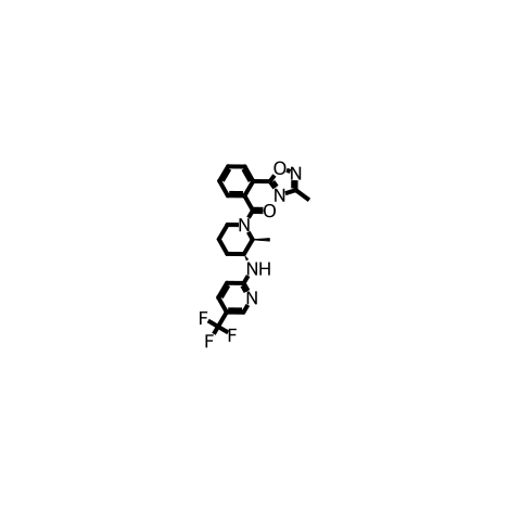 Cc1noc(-c2ccccc2C(=O)N2CCC[C@@H](Nc3ccc(C(F)(F)F)cn3)[C@@H]2C)n1